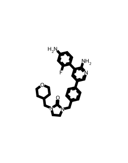 Nc1ccc(-c2cc(-c3ccc(CN4CCN(CC5CCOCC5)C4=O)cc3)cnc2N)c(F)c1